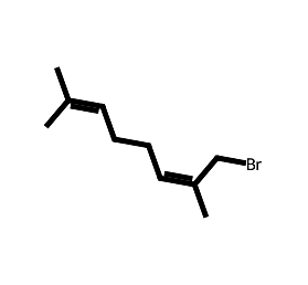 CC(C)=CCCC=C(C)CBr